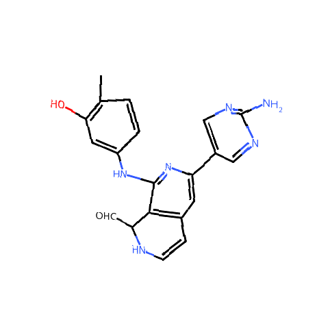 Cc1ccc(Nc2nc(-c3cnc(N)nc3)cc3c2C(C=O)NC=C3)cc1O